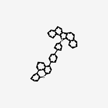 c1ccc2c(c1)Sc1ccc(-c3ccc(-c4ccc(-n5c6c7ccccc7ccc6c6ccc7ccccc7c65)cc4)cc3)c3cccc-2c13